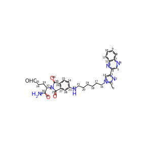 Cc1nc(-c2cnc3ccccc3n2)cn1CCCCCCNc1ccc2c(c1)C(=O)N(C(CCC=O)C(N)=O)C2=O